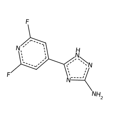 Nc1n[nH]c(-c2cc(F)nc(F)c2)n1